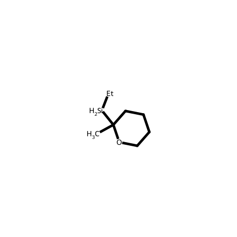 CC[SiH2]C1(C)CCCCO1